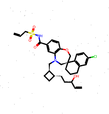 C=CCS(=O)(=O)NC(=O)c1ccc2c(c1)N(C[C@@H]1CC[C@H]1CCC(O)C=C)C[C@@]1(CCCc3cc(Cl)ccc31)CO2